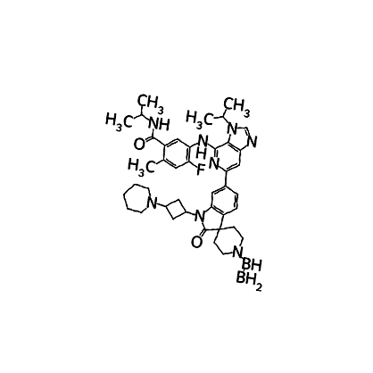 BBN1CCC2(CC1)C(=O)N(C1CC(N3CCCCC3)C1)c1cc(-c3cc4ncn(C(C)C)c4c(Nc4cc(C(=O)NC(C)C)c(C)cc4F)n3)ccc12